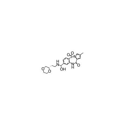 Cc1cc2n(c1)S(=O)(=O)c1ccc(C(O)NCC[C@H]3COCCO3)cc1NC2=O